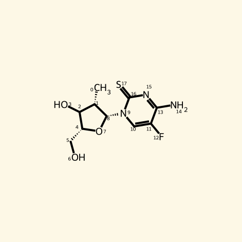 C[C@H]1C(O)[C@@H](CO)O[C@H]1n1cc(F)c(N)nc1=S